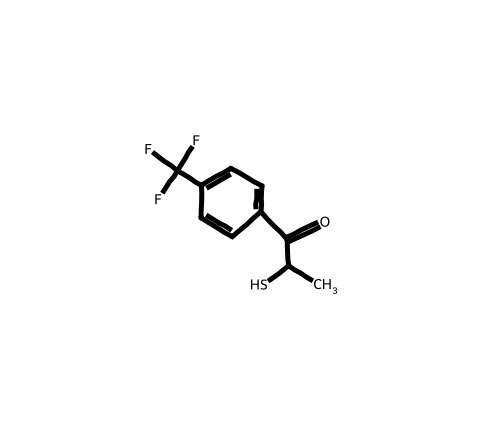 CC(S)C(=O)c1ccc(C(F)(F)F)cc1